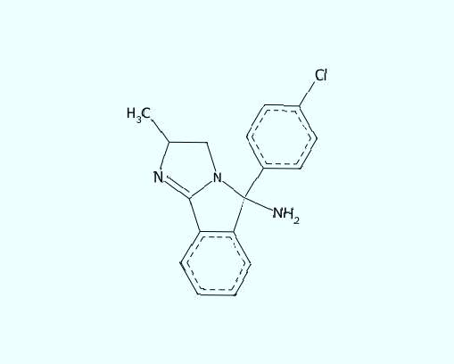 CC1CN2C(=N1)c1ccccc1C2(N)c1ccc(Cl)cc1